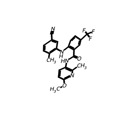 COc1ccc(NC(=O)c2cc(C(F)(F)F)ccc2Nc2cc(C#N)ccc2C)c(C)n1